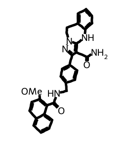 COc1ccc2ccccc2c1C(=O)NCc1ccc(-c2nn3c(c2C(N)=O)Nc2ccccc2CC3)cc1